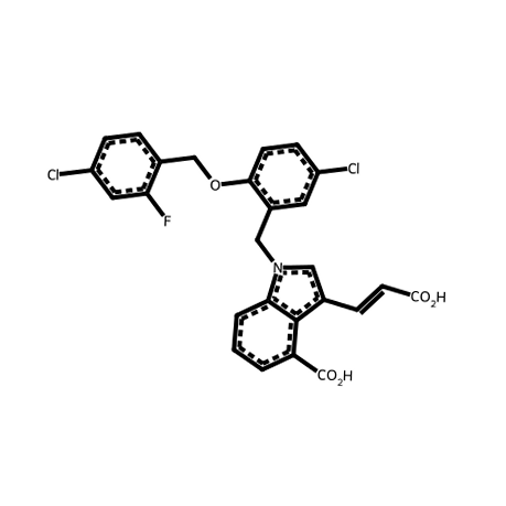 O=C(O)C=Cc1cn(Cc2cc(Cl)ccc2OCc2ccc(Cl)cc2F)c2cccc(C(=O)O)c12